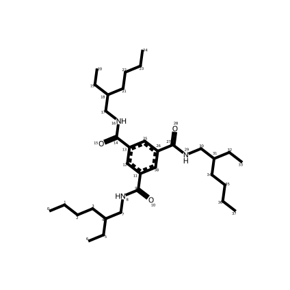 CCCCC(CC)CNC(=O)c1cc(C(=O)NCC(CC)CCCC)cc(C(=O)NCC(CC)CCCC)c1